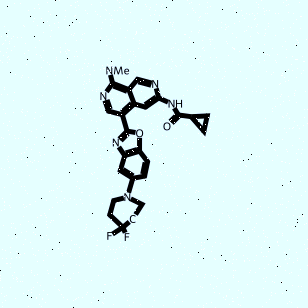 CNc1ncc(-c2nc3cc(N4CCC(F)(F)CC4)ccc3o2)c2cc(NC(=O)C3CC3)ncc12